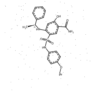 CC(C)Oc1ccc(NS(=O)(=O)c2cc(C(N)=O)c(O)cc2N[C@@H](C)c2ccccc2)cc1